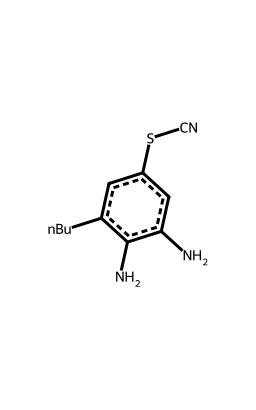 CCCCc1cc(SC#N)cc(N)c1N